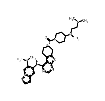 CN(C)CCN(C)C1CCN(C(=O)[C@H]2CCc3c(sc4ncnc(Nc5cc6ccnn6cc5N(C)C)c34)C2)CC1